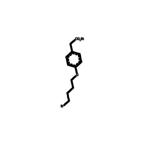 CCOC(=O)Cc1ccc(OCCCCBr)cc1